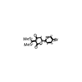 CSC(SC)=C1C(=O)CC(c2ccc(Br)cn2)OC1=O